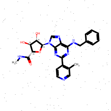 CNC(=O)[C@H]1O[C@H](n2cnc3c(NCc4ccccc4)nc(-c4ccncc4C)nc32)[C@@H](O)[C@@H]1O